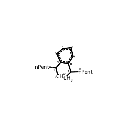 CCCCCC(C)c1ccccc1C(C)CCCCC